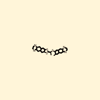 CC(Sc1cc2cc3nccnc3cc2cc1C)=C1Sc2cc3cc4nccnc4cc3cc2S1